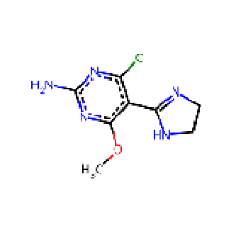 COc1nc(N)nc(Cl)c1C1=NCCN1